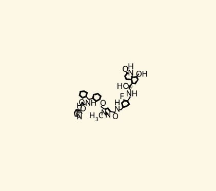 Cn1nc(C(=O)NCc2ccc(CNC[C@@H](O)c3ccc(O)c4[nH]c(=O)ccc34)c(F)c2)cc1COc1cccc(C(NC(=O)O[C@H]2CN3CCC2CC3)c2ccccc2)c1